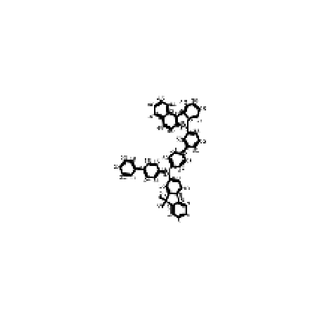 CC1(C)c2ccccc2-c2ccc(N(c3ccc(-c4ccccc4)cc3)c3ccc(-c4cccc(-n5c6ccccc6c6c7ccccc7ccc65)c4)cc3)cc21